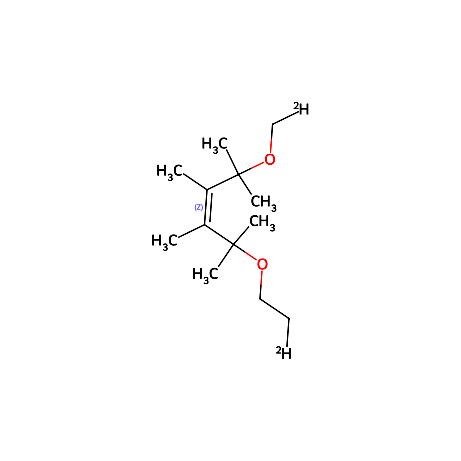 [2H]CCOC(C)(C)/C(C)=C(/C)C(C)(C)OC[2H]